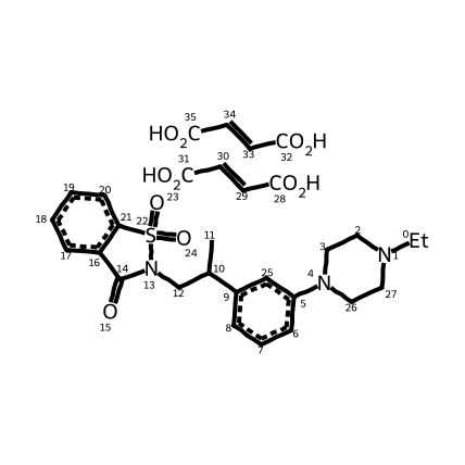 CCN1CCN(c2cccc(C(C)CN3C(=O)c4ccccc4S3(=O)=O)c2)CC1.O=C(O)C=CC(=O)O.O=C(O)C=CC(=O)O